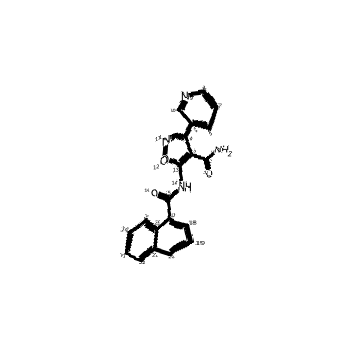 NC(=O)c1c(-c2cccnc2)noc1NC(=O)c1cccc2ccccc12